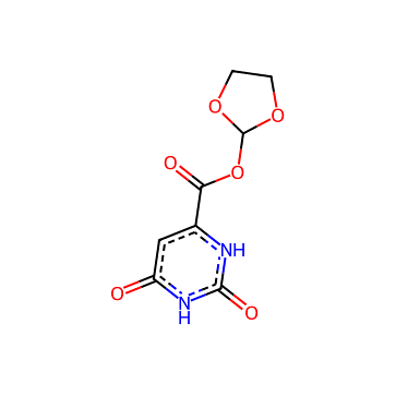 O=C(OC1OCCO1)c1cc(=O)[nH]c(=O)[nH]1